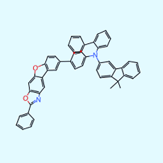 CC1(C)c2ccccc2-c2cc(N(c3ccc(-c4ccc5oc6cc7oc(-c8ccccc8)nc7cc6c5c4)cc3)c3ccccc3-c3ccccc3)ccc21